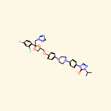 CC(C)n1ncn(-c2ccc(N3CCN(c4ccc(OCC5COC(Cn6cncn6)(c6ccc(F)cc6F)O5)cc4)CC3)cc2)c1=O